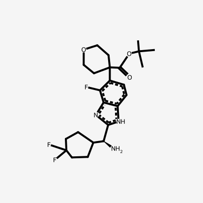 CC(C)(C)OC(=O)C1(c2ccc3[nH]c([C@@H](N)C4CCC(F)(F)CC4)nc3c2F)CCOCC1